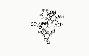 CCOC(=O)Oc1[nH]c2cc(Cl)cc(Cl)c2c1CNCC1CCCCC1(O)c1cccc(O)c1.Cl